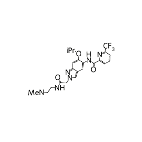 CNCCNC(=O)Cn1cc2cc(NC(=O)c3cccc(C(F)(F)F)n3)c(OC(C)C)cc2n1